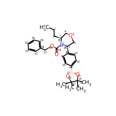 CCC[C@H]1COC[C@@H](c2ccc(B3OC(C)(C)C(C)(C)O3)cc2)N1C(=O)OCc1ccccc1